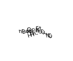 CCCCNC(=O)Nc1cccc(-c2c(C#N)c3ccc(OCCCN4CCOCC4)cc3n2CC)c1